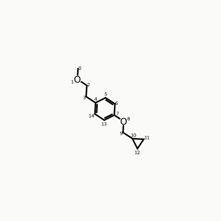 COCCc1ccc(OCC2CC2)cc1